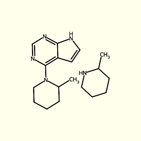 CC1CCCCN1.CC1CCCCN1c1ncnc2[nH]ccc12